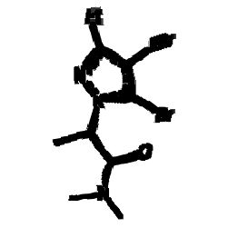 CCc1nn(C(C)C(=O)N(C)C)c(Br)c1Br